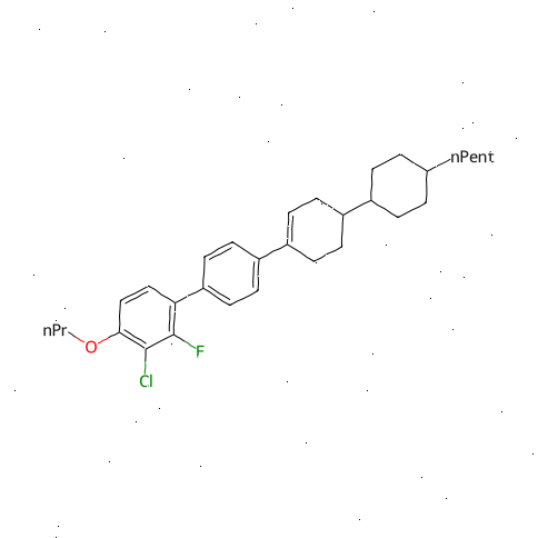 CCCCCC1CCC(C2CC=C(c3ccc(-c4ccc(OCCC)c(Cl)c4F)cc3)CC2)CC1